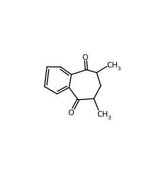 CC1CC(C)C(=O)c2ccccc2C1=O